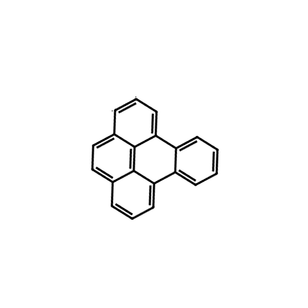 [c]1[c]c2ccc3cccc4c5ccccc5c(c1)c2c34